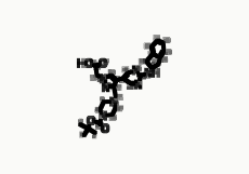 CC(C)(C)OC(=O)N1CCN(Cc2nn(CC(=O)O)cc2-c2cnc(NC3Cc4ccccc4C3)nc2)CC1